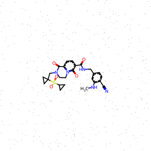 CNc1cc(CNC(=O)c2ccc3n(c2=O)CCN(CC2(S(=O)(=O)C4CC4)CC2)C3=O)ccc1C#N